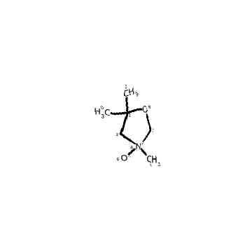 CC1(C)C[N+](C)([O-])CO1